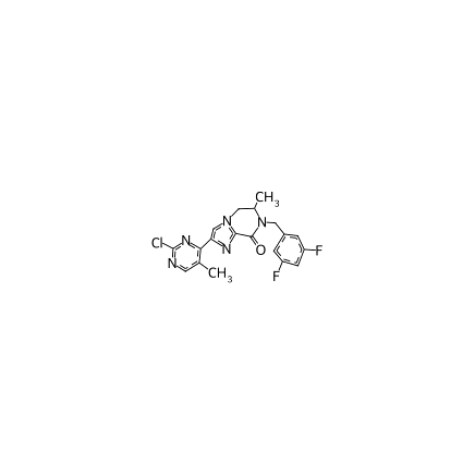 Cc1cnc(Cl)nc1-c1cn2c(n1)C(=O)N(Cc1cc(F)cc(F)c1)C(C)C2